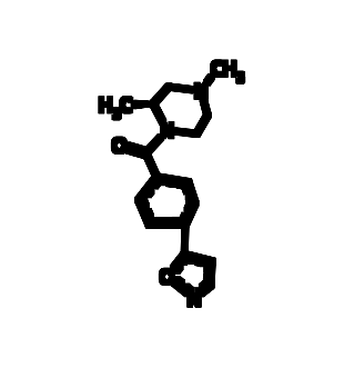 C[C@H]1CN(C)CCN1C(=O)c1ccc(-c2ccno2)cc1